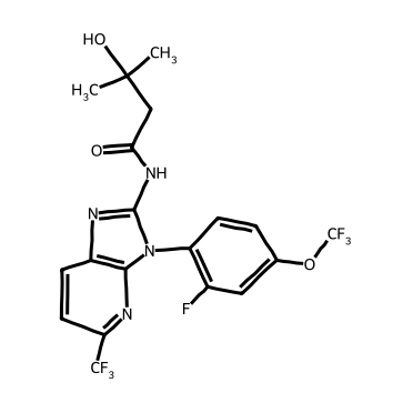 CC(C)(O)CC(=O)Nc1nc2ccc(C(F)(F)F)nc2n1-c1ccc(OC(F)(F)F)cc1F